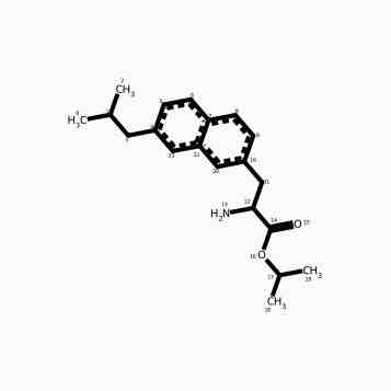 CC(C)Cc1ccc2ccc(CC(N)C(=O)OC(C)C)cc2c1